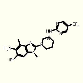 Cc1c(N)c(C(C)C)cc2c1nc(N1CCC[C@@H](Nc3ncc(C(F)(F)F)cn3)C1)n2C